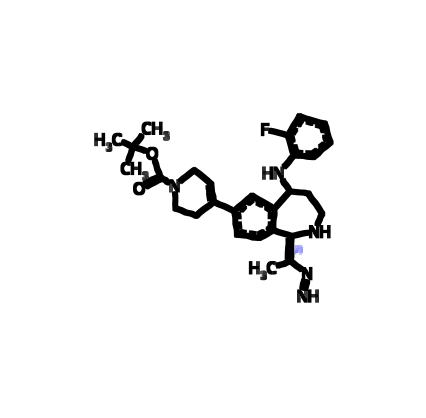 C/C(N=N)=C1/NCCC(Nc2ccccc2F)c2cc(C3=CCN(C(=O)OC(C)(C)C)CC3)ccc21